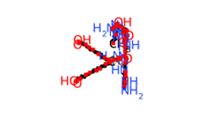 CCCCNc1nc(N)c2nc(O)n(Cc3ccc(C(=O)NCC(=O)NCCCC[C@H](NC(=O)[C@@H](N)CSCC(CCCCCCCCCCCCCCCCC(=O)O)CCCCCCCCCCCCCCCC(=O)O)C(=O)NCCCNCCCCNCCCN)cc3)c2n1